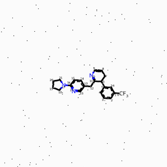 FC(F)(F)c1cccc(C2CC=CN=C2Cc2ccc(N3CCCC3)nc2)c1